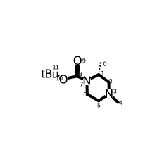 C[C@@H]1CN(C)CCN1C(=O)OC(C)(C)C